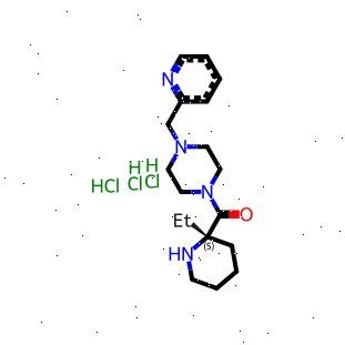 CC[C@@]1(C(=O)N2CCN(Cc3ccccn3)CC2)CCCCN1.Cl.Cl.Cl